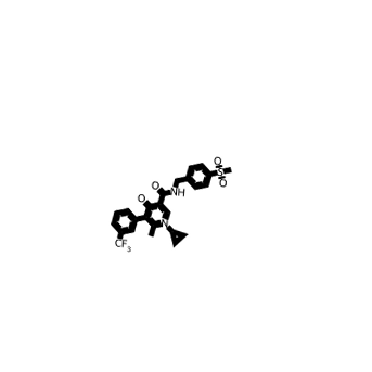 Cc1c(-c2cccc(C(F)(F)F)c2)c(=O)c(C(=O)NCc2ccc(S(C)(=O)=O)cc2)cn1C1CC1